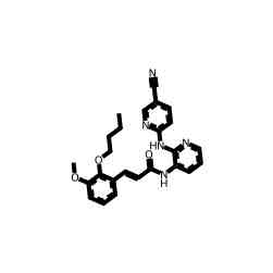 CCCCOc1c(/C=C/C(=O)Nc2cccnc2Nc2ccc(C#N)cn2)cccc1OC